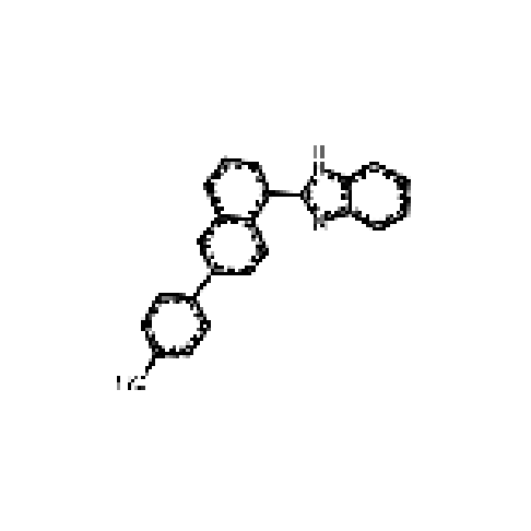 Oc1ccc(-c2ccc3c(-c4nc5ccccc5[nH]4)cccc3c2)cc1